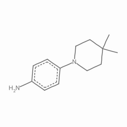 CC1(C)CCN(c2ccc(N)cc2)CC1